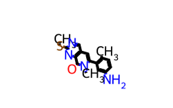 CSc1ncc2cc(-c3cc(N)ccc3C)n(C)c(=O)c2n1